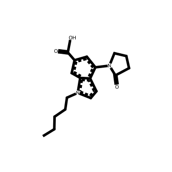 CCCCCn1ccc2c(N3CCCC3=O)cc(C(=O)O)cc21